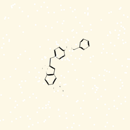 N#Cc1ccc2oc(Cc3ccc(OCc4ccccc4)cc3)cc2c1